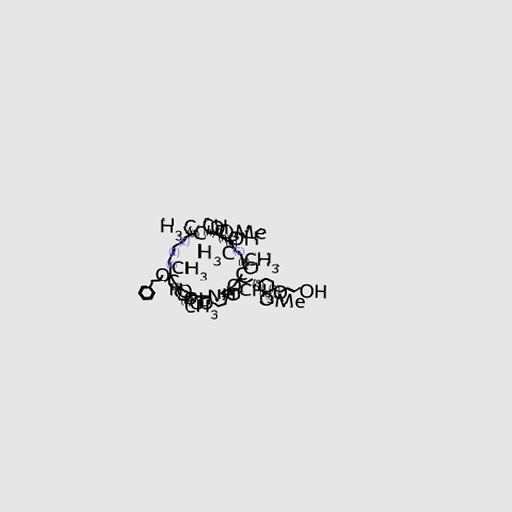 CO[C@@H]1C[C@H](CC(C)C2CC(=O)[C@H](C)/C=C(\C)[C@@H](O)[C@@H](OC)C(=O)[C@H](C)C[C@H](C)/C=C/C=C/C=C(\C)C(OCCc3ccccc3)C[C@@H]3CC[C@@H](C)[C@@](O)(O3)C(=O)C(=O)N3CCCC[C@H]3C(=O)O2)CC[C@H]1OCCCO